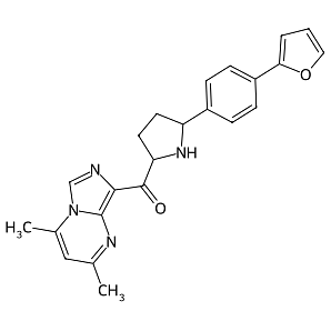 Cc1cc(C)n2cnc(C(=O)C3CCC(c4ccc(-c5ccco5)cc4)N3)c2n1